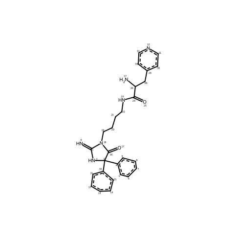 N=C1NC(c2ccccc2)(c2ccccc2)C(=O)N1CCCCNC(=O)C(N)Cc1ccncc1